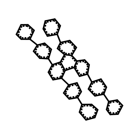 c1ccc(-c2ccc(-c3ccc4c5ccc(-c6ccccc6)cc5c5c(-c6ccc(-c7ccccc7)cc6)ccc(-c6ccc(-c7ccccc7)cc6)c5c4c3)cc2)cc1